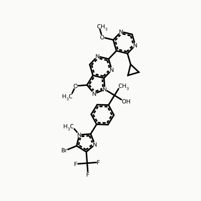 COc1ncnc(C2CC2)c1-c1ncc2c(OC)nn(C(C)(O)c3ccc(-c4nc(C(F)(F)F)c(Br)n4C)cc3)c2n1